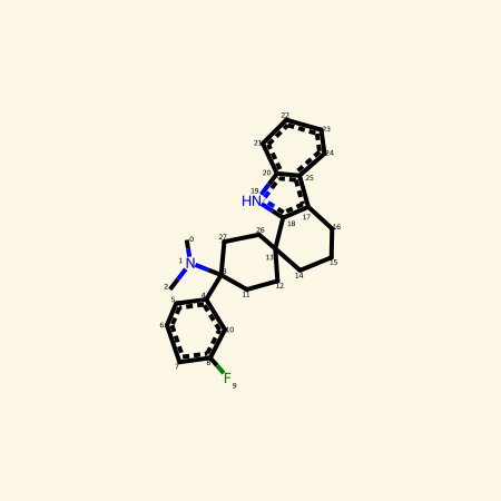 CN(C)C1(c2cccc(F)c2)CCC2(CCCc3c2[nH]c2ccccc32)CC1